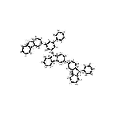 c1ccc(-c2cc(-c3ccc4sc5ccccc5c4c3)cc(-n3c4ccccc4c4cc(-c5ccc6c(c5)c5ccccc5n6-c5ccccc5)ccc43)c2)cc1